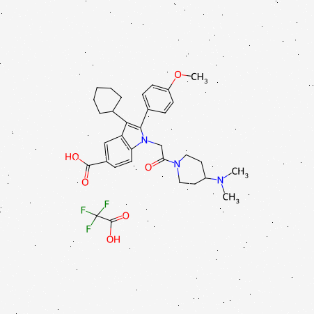 COc1ccc(-c2c(C3CCCCC3)c3cc(C(=O)O)ccc3n2CC(=O)N2CCC(N(C)C)CC2)cc1.O=C(O)C(F)(F)F